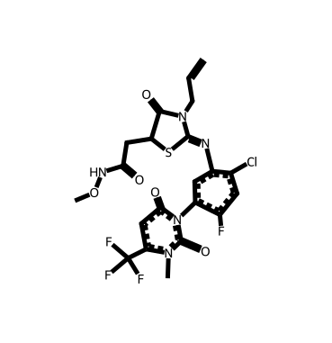 C=CCN1C(=O)C(CC(=O)NOC)S/C1=N\c1cc(-n2c(=O)cc(C(F)(F)F)n(C)c2=O)c(F)cc1Cl